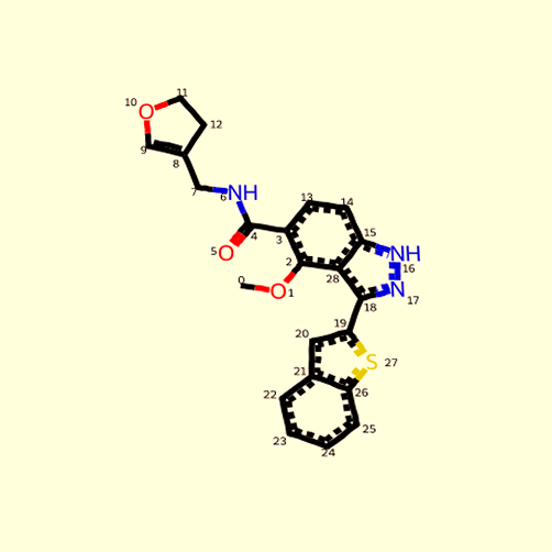 COc1c(C(=O)NCC2=COCC2)ccc2[nH]nc(-c3cc4ccccc4s3)c12